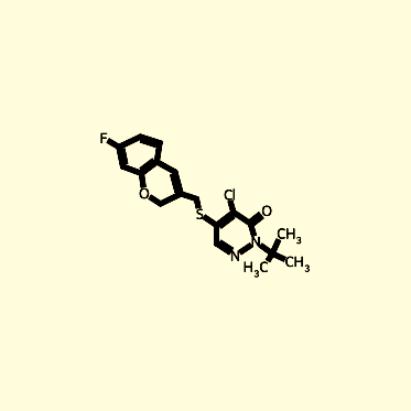 CC(C)(C)n1ncc(SCC2=Cc3ccc(F)cc3OC2)c(Cl)c1=O